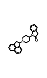 O=C1Cc2ccccc2N1C1CCN(C2Cc3cccc4cccc2c34)CC1